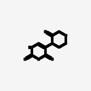 O=C1[CH]OCCN1c1c[nH]c(=O)oc1=O